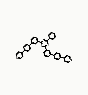 c1ccc(-c2nc(-c3cccc(-c4ccc(-c5ccncc5)cc4)c3)nc(-c3cccc(-c4ccc(-c5ccncc5)cc4)c3)n2)cc1